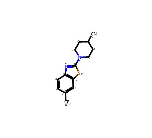 N#CC1CCN(c2nc3ccc(C(F)(F)F)cc3s2)CC1